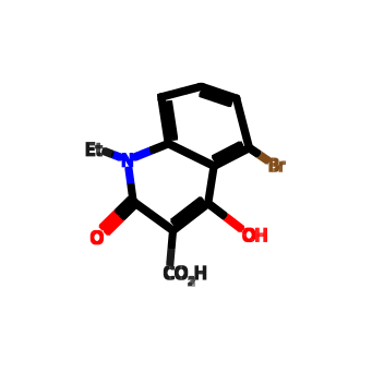 CCn1c(=O)c(C(=O)O)c(O)c2c(Br)cccc21